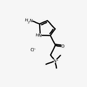 C[N+](C)(C)CC(=O)c1ccc(N)[nH]1.[Cl-]